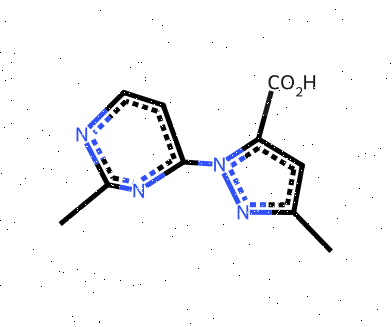 Cc1cc(C(=O)O)n(-c2ccnc(C)n2)n1